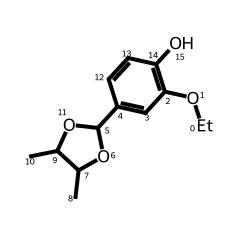 CCOc1cc(C2OC(C)C(C)O2)ccc1O